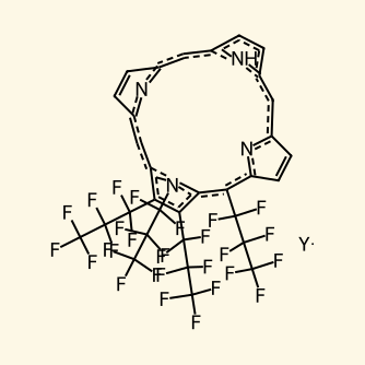 FC(F)(F)C(F)(F)C(F)(F)c1c(C(F)(F)C(F)(F)C(F)(F)F)c2c(C(F)(F)C(F)(F)C(F)(F)F)c3nc(cc4ccc(cc5nc(cc1n2C(F)(F)C(F)(F)C(F)(F)F)C=C5)[nH]4)C=C3.[Y]